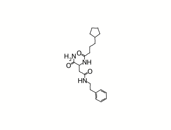 NC(=O)C(CC(=O)NCCc1ccccc1)NC(=O)CCCC1CCCC1